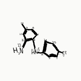 CCc1ccc(Nc2ccc(C)cc2N)cc1